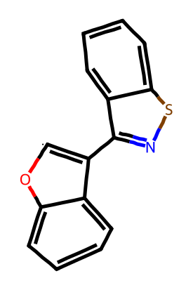 [c]1oc2ccccc2c1-c1nsc2ccccc12